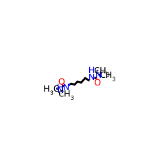 CN(C)C(=O)NCCCCCCNC(=O)N(C)C